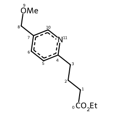 CCOC(=O)CCCc1ccc(COC)cn1